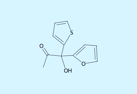 CC(=O)C(O)(c1ccco1)c1cccs1